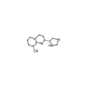 N#Cc1cccc2ccc(-c3cnc[nH]3)nc12